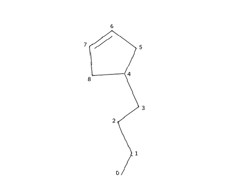 C[CH]CCC1CC=CC1